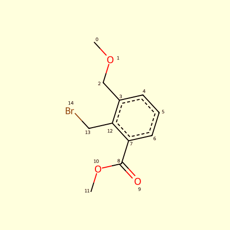 COCc1cccc(C(=O)OC)c1CBr